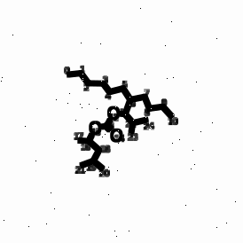 CCCCCCC(CCCC)C(OC(=O)OC(C)CC(C)C)C(C)C